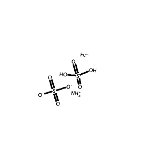 O=S(=O)(O)O.O=S(=O)([O-])[O-].[Fe+].[NH4+]